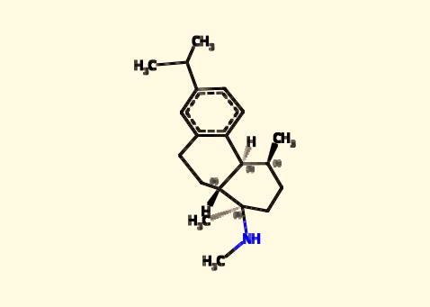 CN[C@]1(C)CC[C@H](C)[C@@H]2c3ccc(C(C)C)cc3CC[C@H]21